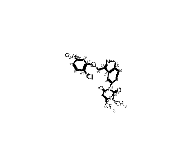 Cn1c(C(F)(F)F)cc(=O)n(-c2ccc3snc(COc4cc([N+](=O)[O-])ccc4Cl)c3c2)c1=O